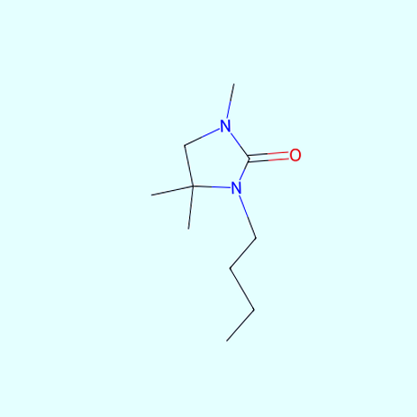 CCCCN1C(=O)N(C)CC1(C)C